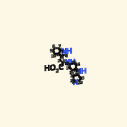 O=C(O)C(Cc1c[nH]c2ccccc12)Nc1ccc(Nc2ccncc2)cc1